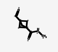 CPC(=O)C12CC(C=O)(C1)C2